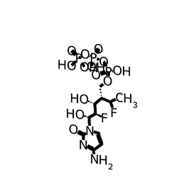 CC(F)[C@@H](COP(=O)(O)OP(=O)(O)OP(=O)(O)O)[C@@H](O)[C@@H](F)[C@@H](O)n1ccc(N)nc1=O